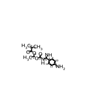 CC(OC(=O)NC(=N)c1ccc(N)cc1)OC(=O)C(C)C